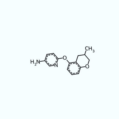 CC1COc2cccc(Oc3ccc(N)cn3)c2C1